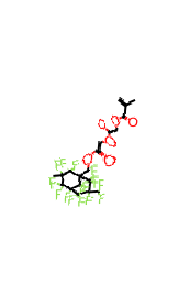 C=C(C)C(=O)OCC(=O)OCC(=O)OCC12C(F)(F)C(C)(F)C(F)(F)C(F)(C(F)(F)C(F)(C(F)F)C1(F)F)C2(F)F